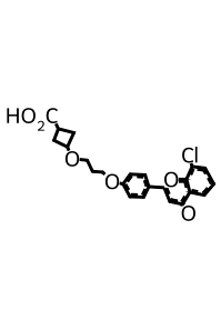 O=C(O)C1CC(OCCCOc2ccc(-c3cc(=O)c4cccc(Cl)c4o3)cc2)C1